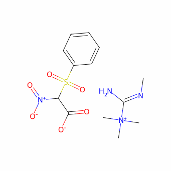 C/N=C(\N)[N+](C)(C)C.O=C([O-])C([N+](=O)[O-])S(=O)(=O)c1ccccc1